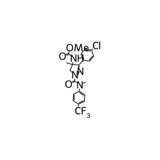 COC(=O)NC1(C)CN(C(=O)N(C)c2ccc(C(F)(F)F)cc2)N=C1c1ccc(Cl)cc1